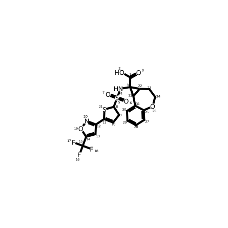 O=C(O)C1(NS(=O)(=O)C2CC=C(c3cc(C(F)(F)F)on3)S2)C2CCOc3ccccc3C21